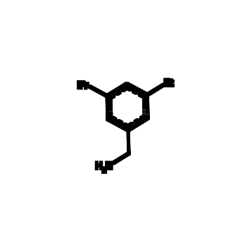 CCc1cc(CN)cc(C(C)C)c1